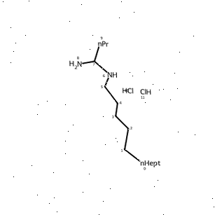 CCCCCCCCCCCCNC(N)CCC.Cl.Cl